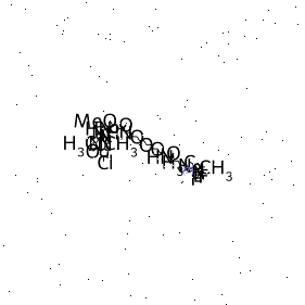 COc1cc(C(=O)NCCOCCOCCOCCNC(=O)CCC2=N/C(=C\c3c(C)cc(C)n3B(F)F)C=C2)ccc1Nc1ncc2c(n1)N(C)c1ccc(Cl)cc1C(=O)N2C